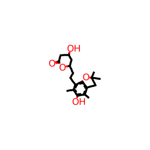 Cc1c(O)c(C)c2c(c1CCC1CC(O)CC(=O)O1)OC(C)(C)C2